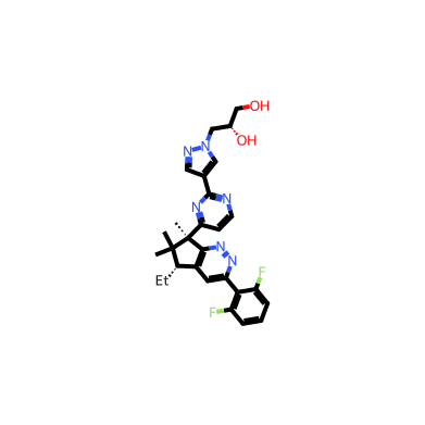 CC[C@H]1c2cc(-c3c(F)cccc3F)nnc2[C@](C)(c2ccnc(-c3cnn(C[C@@H](O)CO)c3)n2)C1(C)C